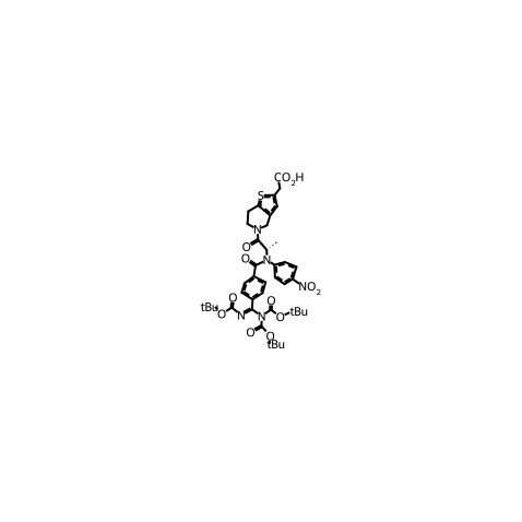 C[C@@H](C(=O)N1CCc2sc(CC(=O)O)cc2C1)N(C(=O)c1ccc(C(=NC(=O)OC(C)(C)C)N(C(=O)OC(C)(C)C)C(=O)OC(C)(C)C)cc1)c1ccc([N+](=O)[O-])cc1